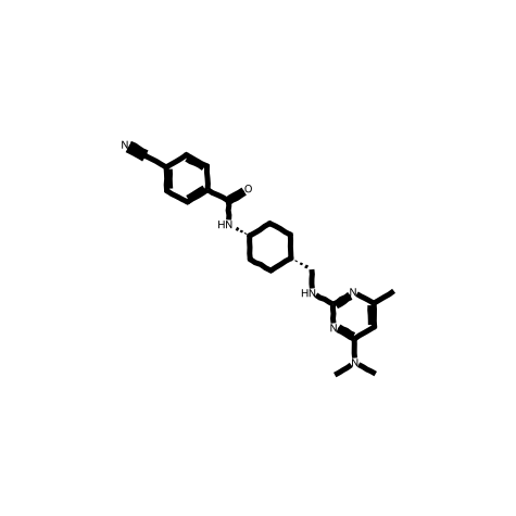 Cc1cc(N(C)C)nc(NC[C@H]2CC[C@@H](NC(=O)c3ccc(C#N)cc3)CC2)n1